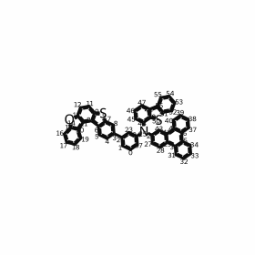 c1cc(-c2ccc3c(c2)sc2ccc4oc5ccccc5c4c23)cc(N(c2ccc3c4ccccc4c4ccccc4c3c2)c2cccc3c2sc2ccccc23)c1